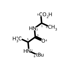 CC(NC(=O)C(C)NC(C)(C)C)C(=O)O